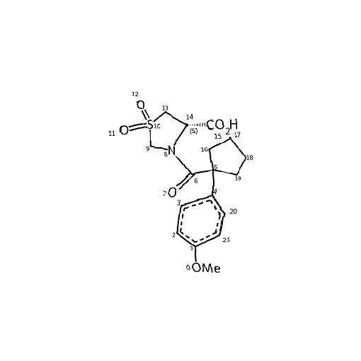 COc1ccc(C2(C(=O)N3CS(=O)(=O)C[C@@H]3C(=O)O)CCCC2)cc1